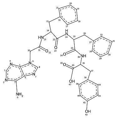 Nc1ncnc2c1ncn2CC(=O)NC(Cc1ccccc1)C(=O)NC(Cc1ccccc1)C(=O)NC(Cc1ccc(O)cc1)C(=O)O